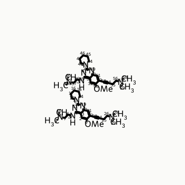 COc1cc2c(NCCN(C)C)nc(N3CCCCC3)nc2cc1C#CCCN(C)C.COc1cc2c(NCCN(C)C)nc(N3CCCCC3)nc2cc1C#CCCN(C)C